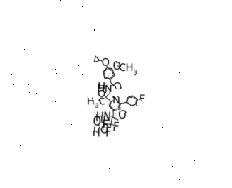 COc1cc(C(=O)NC[C@](C)(O)c2cc3c(c(-c4ccc(F)cc4)n2)OC[C@@]3(NC(=O)O)C(F)(F)F)ccc1OC1CC1